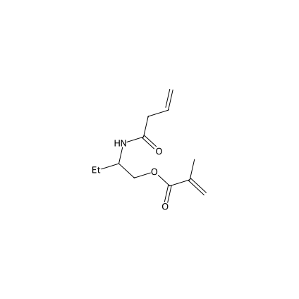 C=CCC(=O)NC(CC)COC(=O)C(=C)C